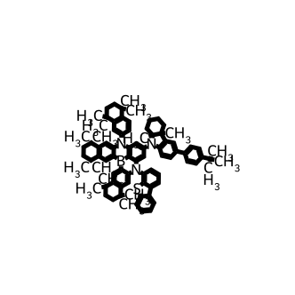 CC(C)(C)c1ccc(-c2ccc3c(c2)C2(C)CCCCC2(C)N3c2cc3c4c(c2)N(c2cccc5c2sc2ccccc25)c2cc5c(cc2B4c2cc4c(cc2N3c2ccc3c(c2)C(C)(C)CCC3(C)C)C(C)(C)CCC4(C)C)C(C)(C)CCC5(C)C)cc1